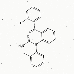 Cc1ccccc1N(C(N)=O)c1ccccc1C(=O)c1ccccc1F